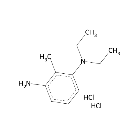 CCN(CC)c1cccc(N)c1C.Cl.Cl